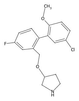 COc1ccc(Cl)cc1-c1ccc(F)cc1COC1CCNC1